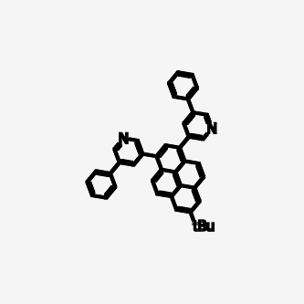 CC(C)(C)c1cc2ccc3c(-c4cncc(-c5ccccc5)c4)cc(-c4cncc(-c5ccccc5)c4)c4ccc(c1)c2c34